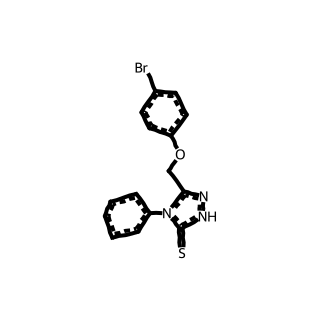 S=c1[nH]nc(COc2ccc(Br)cc2)n1-c1ccccc1